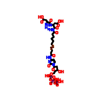 N[C@@H](CC(=O)O)C(=O)N[C@@H](CC(=O)O)C(=O)NC(=O)CCCCCSSCCC(=O)Nc1ccn(C2CC(O)C(COP(=O)(O)OP(=O)(O)OP(=O)(O)O)O2)c(=O)n1